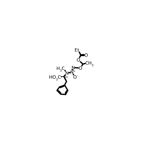 CCC(=O)OC(C)ON=[N+]([O-])N(C)[C@@H](Cc1ccccc1)C(=O)O